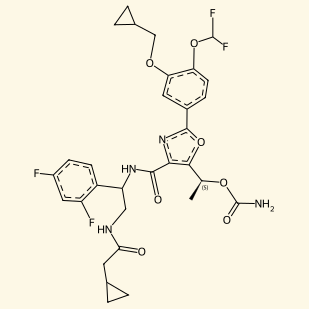 C[C@H](OC(N)=O)c1oc(-c2ccc(OC(F)F)c(OCC3CC3)c2)nc1C(=O)NC(CNC(=O)CC1CC1)c1ccc(F)cc1F